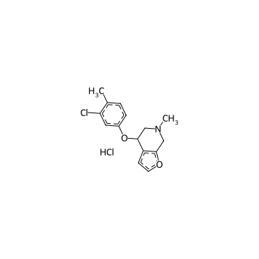 Cc1ccc(OC2CN(C)Cc3occc32)cc1Cl.Cl